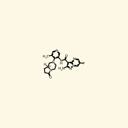 Cc1cncc(NC(=O)c2c(N)nn3cc(F)cnc23)c1N1CCN2C(=O)CC[C@@H]2C1